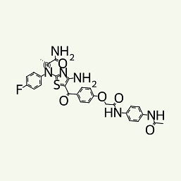 CC(=O)Nc1ccc(NC(=O)COc2ccc(C(=O)c3sc(N(c4ccc(F)cc4)[C@H](C)C(N)=O)nc3N)cc2)cc1